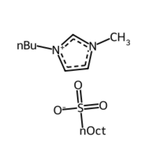 CCCCCCCCS(=O)(=O)[O-].CCCC[n+]1ccn(C)c1